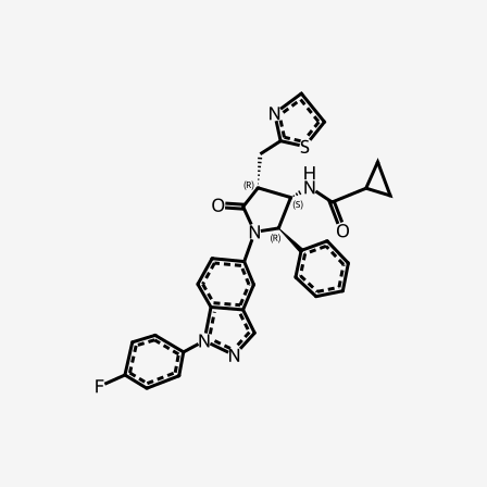 O=C(N[C@@H]1[C@@H](c2ccccc2)N(c2ccc3c(cnn3-c3ccc(F)cc3)c2)C(=O)[C@@H]1Cc1nccs1)C1CC1